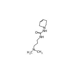 CN(C)CCCNC(=O)NN1CC=CCC1